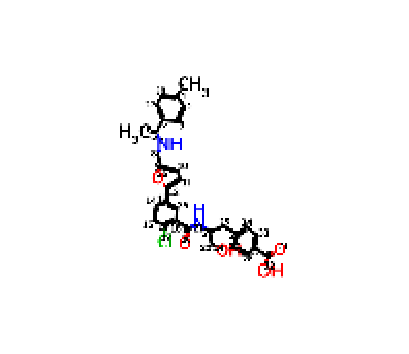 Cc1ccc(C(C)NCc2ccc(-c3ccc(Cl)c(C(=O)NC(CO)Cc4ccc(C(=O)O)cc4)c3)o2)cc1